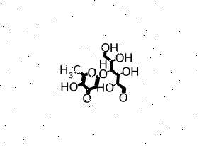 Cc1occc(=O)c1O.O=C[C@H](O)[C@@H](O)[C@H](O)[C@H](O)CO